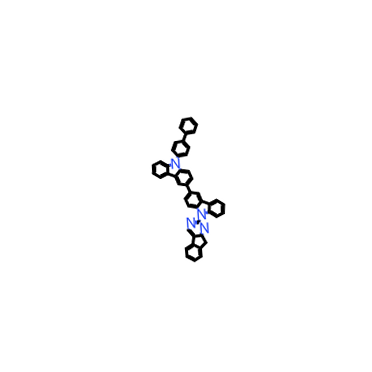 c1ccc(-c2ccc(-n3c4ccccc4c4cc(-c5ccc6c(c5)c5ccccc5n6-c5ncc6c(n5)Cc5ccccc5-6)ccc43)cc2)cc1